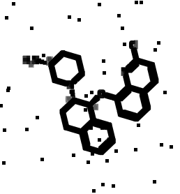 N[C@@H]1CCCN([C@H]2CCc3ccccc3[C@@H]2Oc2cccc3ccc(Cl)nc23)C1